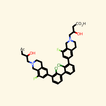 CC(=O)CC(O)CN1CCc2cc(-c3cccc(-c4cccc(-c5cc(F)c6c(c5)CCN(CC(O)CC(=O)O)C6)c4Cl)c3Cl)cc(F)c2C1